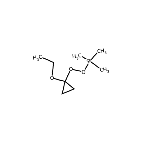 CCOC1(OO[Si](C)(C)C)CC1